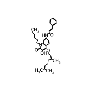 CCCCCCn1c(=O)c(O)c(OCC=C(C)CCC=C(C)C)c2ccc(NC(=O)C=Cc3ccccc3)cc21